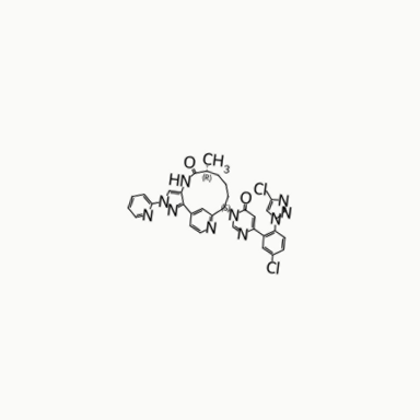 C[C@@H]1CCC[C@H](n2cnc(-c3cc(Cl)ccc3-n3cc(Cl)nn3)cc2=O)c2cc(ccn2)-c2nn(-c3ccccn3)cc2NC1=O